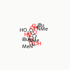 CCC(C)[C@H](NC)C(=O)CC(O)(C(=O)O)C(=O)C(C)(O)c1cccc(C(=O)C(C)(O)C(=O)[C@H](C)NC)c1C(=O)[C@@H](NC)C(C)CC